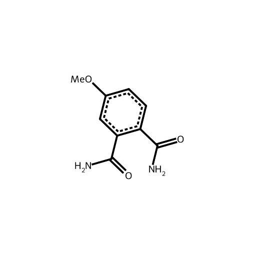 COc1ccc(C(N)=O)c(C(N)=O)c1